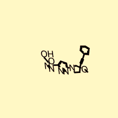 COC1(C#Cc2ccccc2)CCN(c2ccc(-c3nnc(CO)o3)nn2)C1